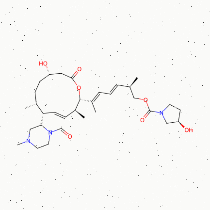 C/C(=C\C=C\[C@@H](C)COC(=O)N1CC[C@@H](O)C1)[C@H]1OC(=O)C[C@@H](O)CC[C@@H](C)[C@@H](C2CN(C)CCN2[C]=O)/C=C/[C@@H]1C